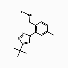 CC(C)(C)c1cn(-c2cc(F)ccc2CNCl)nn1